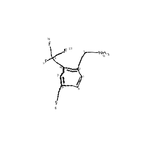 NCc1ccc(F)cc1C(F)(F)F